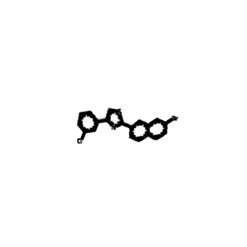 Clc1cccc(-c2csc(-c3ccc4ccc(Br)cc4c3)n2)c1